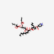 CC/C=C\CC1C(CC(=O)OCC(CCCCCCCC)OC(=O)CCCCC(COC(=O)CCCCC)COC(=O)CCCCC)CCC1OC(=O)C1CCN(C)CC1